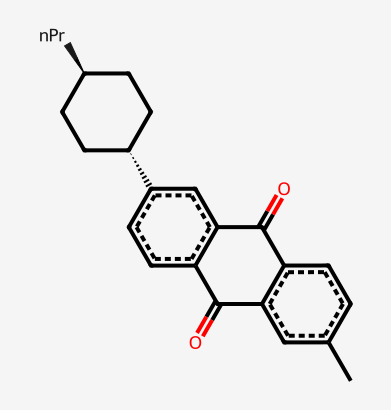 CCC[C@H]1CC[C@H](c2ccc3c(c2)C(=O)c2ccc(C)cc2C3=O)CC1